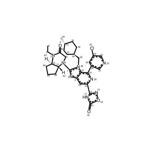 CCN1C(=O)CN(c2nc3cc(-c4noc(=O)[nH]4)nc(-c4cncc(Cl)c4)c3n2C[C@H]2CC[C@H](C)CC2)[C@@H]2CCC[C@H]21